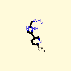 NCc1ncc(-c2ccc(C(F)(F)F)nc2)[nH]1